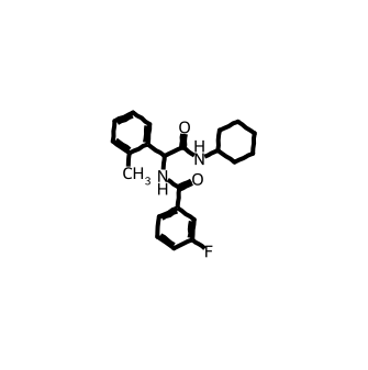 Cc1ccccc1C(NC(=O)c1cccc(F)c1)C(=O)NC1CCCCC1